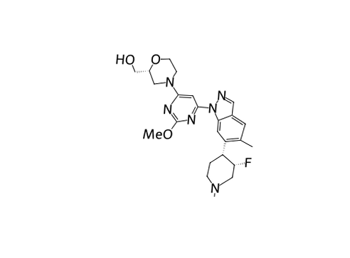 COc1nc(N2CCO[C@@H](CO)C2)cc(-n2ncc3cc(C)c([C@H]4CCN(C)C[C@H]4F)cc32)n1